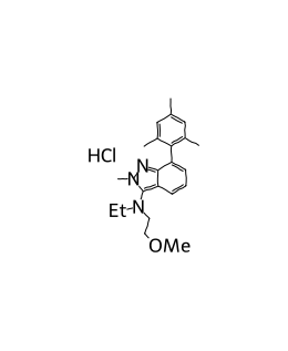 CCN(CCOC)c1c2cccc(-c3c(C)cc(C)cc3C)c2nn1C.Cl